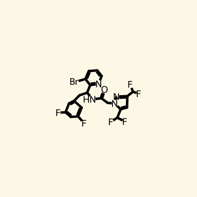 O=C(Cn1nc(C(F)F)cc1C(F)F)NC(Cc1cc(F)cc(F)c1)c1ncccc1Br